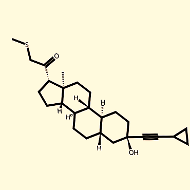 CSCC(=O)[C@H]1CC[C@H]2[C@@H]3CC[C@H]4C[C@@](O)(C#CC5CC5)CC[C@@H]4[C@H]3CC[C@]12C